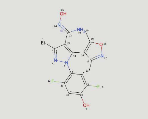 CCc1nn(-c2cc(F)c(O)cc2F)c(-c2c(C)noc2C)c1/C(N)=N/O